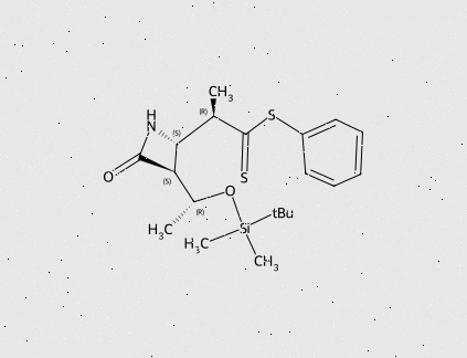 C[C@@H](O[Si](C)(C)C(C)(C)C)[C@H]1C(=O)N[C@@H]1[C@@H](C)C(=S)Sc1ccccc1